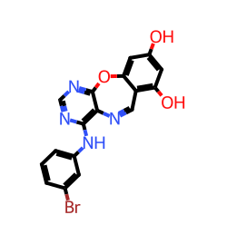 Oc1cc(O)c2c(c1)Oc1ncnc(Nc3cccc(Br)c3)c1N=C2